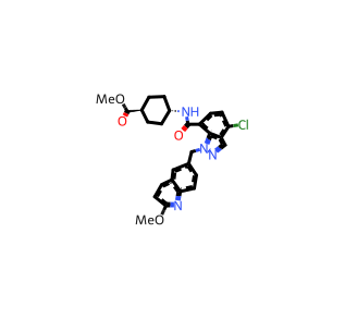 COc1ccc2cc(Cn3ncc4c(Cl)ccc(C(=O)N[C@H]5CC[C@H](C(=O)OC)CC5)c43)ccc2n1